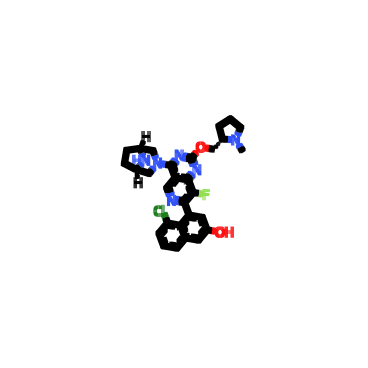 CN1CCC[C@H]1COc1nc(N2C[C@H]3CC[C@@H](C2)N3)c2cnc(-c3cc(O)cc4cccc(Cl)c34)c(F)c2n1